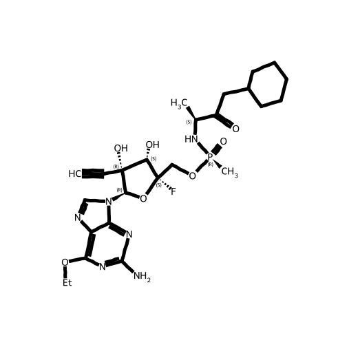 C#C[C@]1(O)[C@H](n2cnc3c(OCC)nc(N)nc32)O[C@](F)(CO[P@@](C)(=O)N[C@@H](C)C(=O)CC2CCCCC2)[C@H]1O